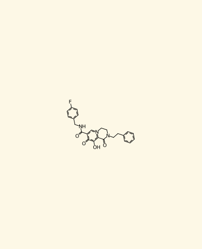 O=C(NCc1ccc(F)cc1)c1cn2c(c(O)c1=O)C(=O)N(CCc1ccccc1)CC2